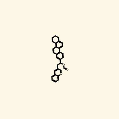 O=COC(Cc1cnc2ccccc2c1)c1ccc2c(ccc3c4c(ccc32)CCCC4)c1